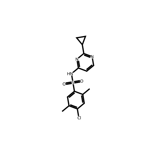 Cc1cc(S(=O)(=O)Nc2ccnc(C3CC3)n2)c(C)cc1Cl